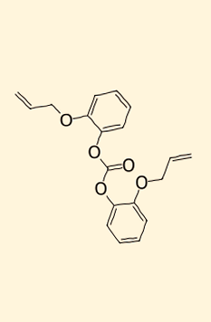 C=CCOc1ccccc1OC(=O)Oc1ccccc1OCC=C